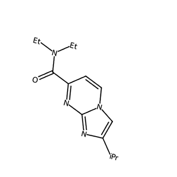 CCN(CC)C(=O)c1ccn2cc(C(C)C)nc2n1